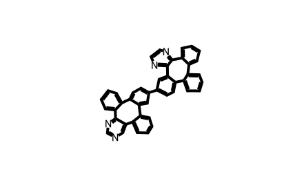 c1ccc2c(c1)-c1ccccc1-c1nccnc1-c1cc(-c3ccc4c(c3)-c3ccccc3-c3cncnc3-c3ccccc3-4)ccc1-2